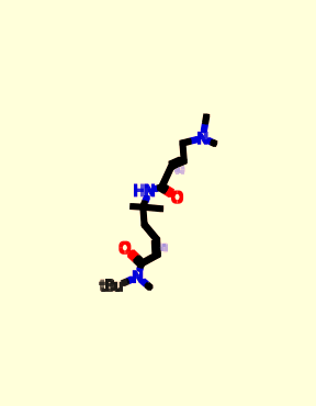 CN(C)C/C=C/C(=O)NC(C)(C)C/C=C\C(=O)N(C)C(C)(C)C